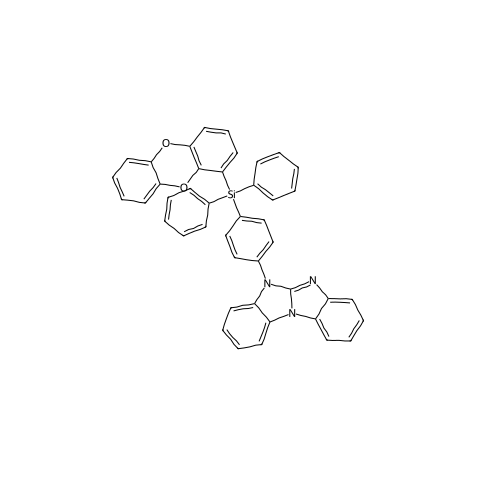 c1ccc([Si](c2ccccc2)(c2ccc(-n3c4ccccc4n4c5ccccc5nc34)cc2)c2cccc3c2Oc2ccccc2O3)cc1